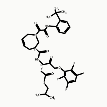 CC(C)COC(=O)C[C@H](NC(=O)[C@H]1CC=CCN(C(=O)C(=O)Nc2ccccc2C(C)(C)C)C1)C(=O)COc1c(F)c(F)cc(F)c1F